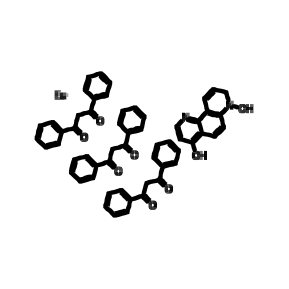 O=C(CC(=O)c1ccccc1)c1ccccc1.O=C(CC(=O)c1ccccc1)c1ccccc1.O=C(CC(=O)c1ccccc1)c1ccccc1.Oc1ccnc2c3c(ccc12)N(O)CC=C3.[Eu]